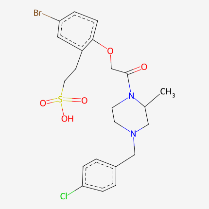 CC1CN(Cc2ccc(Cl)cc2)CCN1C(=O)COc1ccc(Br)cc1CCS(=O)(=O)O